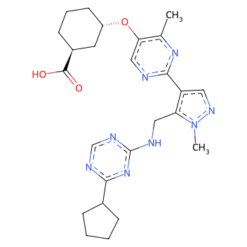 Cc1nc(-c2cnn(C)c2CNc2ncnc(C3CCCC3)n2)ncc1O[C@H]1CCC[C@H](C(=O)O)C1